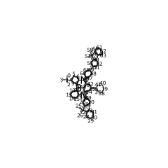 CC(C)(C)c1ccc2c(c1)B1c3ccccc3N(c3ccc4c(c3)C(C)(C)c3ccccc3-4)c3cc(C4CCCCC4)cc(c31)N2c1ccc(-c2ccc3c(c2)C(C)(C)c2ccccc2-3)cc1